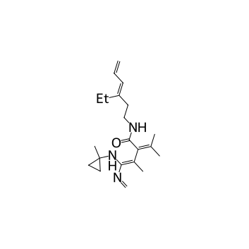 C=C/C=C(\CC)CCNC(=O)C(=C(C)C)/C(C)=C(/N=C)NC1(C)CC1